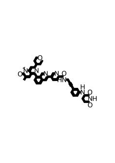 Cc1cc2c(-c3cccc4cc(-c5ccc(C(=O)NCC#Cc6cccc(NC7CCC(=O)NC7=O)c6)nc5)ncc34)nc(C3CCOCC3)cc2n(C)c1=O